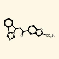 CCOC(=O)c1cc2cc(C(=O)CC3c4ccccc4-c4cncn43)ccc2o1